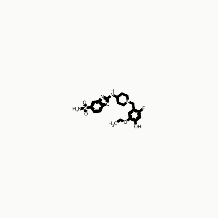 CCOc1cc(CN2CCC(Nc3nc4cc(S(N)(=O)=O)ccc4o3)CC2)c(F)cc1O